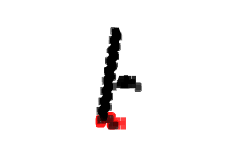 CCCCCCCCCCCCCCCCCC(=O)OO.[AlH3].[Zn]